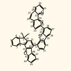 CC1(C)c2ccccc2-c2c1cc(-c1cccc3c1sc1c(-c4ccc5ccc6cccnc6c5n4)cccc13)c1c2oc2ccccc21